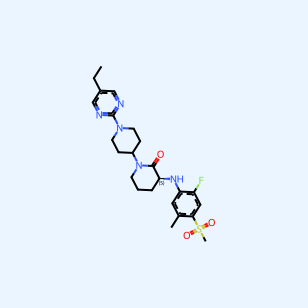 CCc1cnc(N2CCC(N3CCC[C@H](Nc4cc(C)c(S(C)(=O)=O)cc4F)C3=O)CC2)nc1